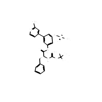 Cc1cc(-c2cc(NC(=O)[C@H](Cc3ccccc3)NC(=O)OC(C)(C)C)cc(NS(C)(=O)=O)c2)ccn1